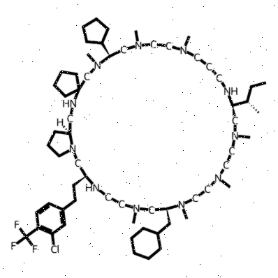 CC[C@H](C)[C@H]1CN(C)CCN(C)CCN(C)[C@@H](CC2CCCCC2)CN(C)CCN[C@@H](CCc2ccc(C(F)(F)F)c(Cl)c2)CN2CCC[C@H]2CNC2(CCCC2)CN(C)[C@@H](C2CCCC2)CN(C)CCN(C)CCCN1